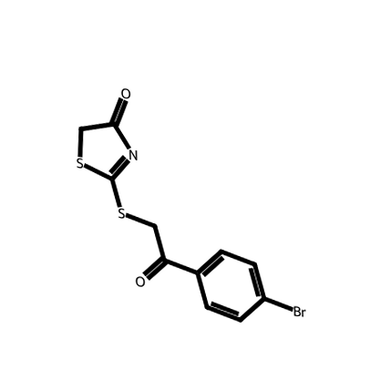 O=C1CSC(SCC(=O)c2ccc(Br)cc2)=N1